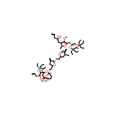 C=CCC(O)CC1C(C[C@H]2OC(CC[C@@H]3OC(CC[C@]45CC[C@H](O4)[C@H]4C[C@@H](O5)C(O[Si](CC)(CC)CC)[C@H](CC=C)O4)CC3=C)CC(C)C2=C)OC(C[C@@H](CO[Si](CC)(CC)CC)O[Si](CC)(CC)CC)[C@@H]1OC